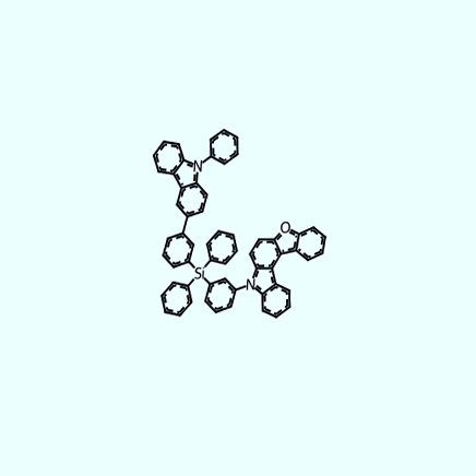 c1ccc(-n2c3ccccc3c3cc(-c4cccc([Si](c5ccccc5)(c5ccccc5)c5cccc(-n6c7ccccc7c7c8c(ccc76)oc6ccccc68)c5)c4)ccc32)cc1